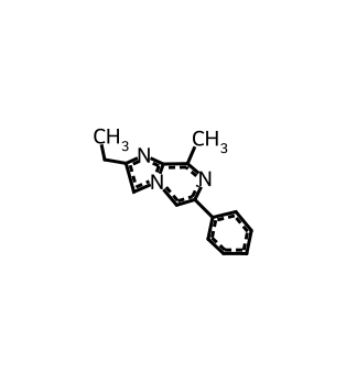 CCc1cn2cc(-c3ccccc3)nc(C)c2n1